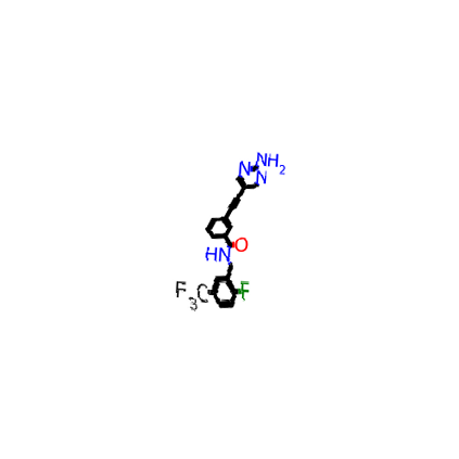 Nc1ncc(C#Cc2cccc(C(=O)NCc3cc(C(F)(F)F)ccc3F)c2)cn1